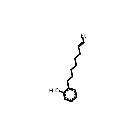 CCC=CCCCCCCc1ccccc1C